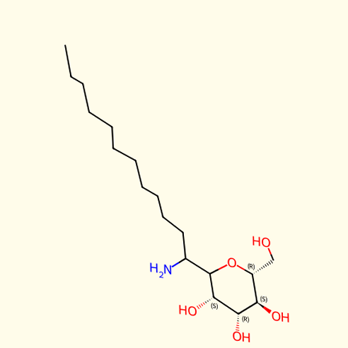 CCCCCCCCCCCC(N)C1O[C@H](CO)[C@@H](O)[C@H](O)[C@@H]1O